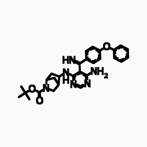 CC(C)(C)OC(=O)N1CC2CC1CC2Nc1ncnc(N)c1C(=N)c1ccc(Oc2ccccc2)cc1